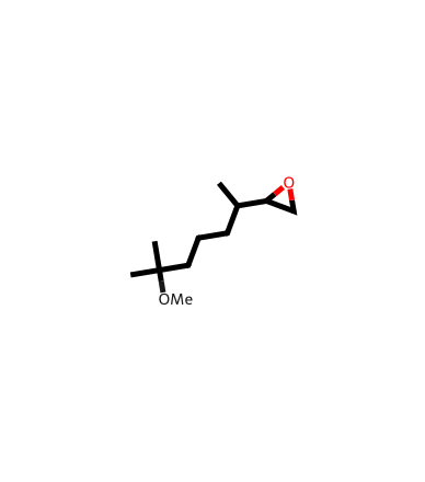 COC(C)(C)CCCC(C)C1CO1